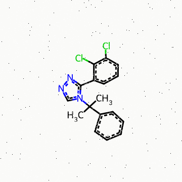 CC(C)(c1ccccc1)n1cnnc1-c1cccc(Cl)c1Cl